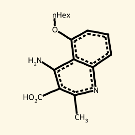 CCCCCCOc1cccc2nc(C)c(C(=O)O)c(N)c12